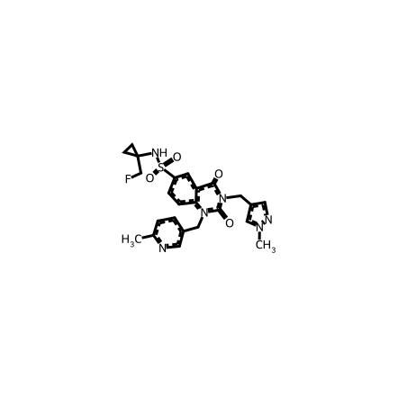 Cc1ccc(Cn2c(=O)n(Cc3cnn(C)c3)c(=O)c3cc(S(=O)(=O)NC4(CF)CC4)ccc32)cn1